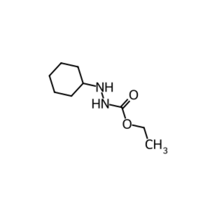 CCOC(=O)NNC1CCCCC1